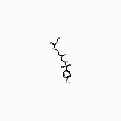 Cc1ccc(S(=O)(=O)NCC(F)CONC(=O)OC(C)(C)C)cc1